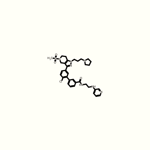 CS(=O)(=O)N1CCc2c(c(-c3ccc(Cl)c(-c4cccc(C(=O)NCCNc5cccnc5)c4)c3)nn2CCCN2CCCC2)C1